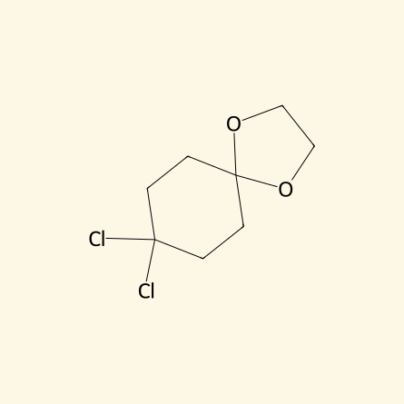 ClC1(Cl)CCC2(CC1)OCCO2